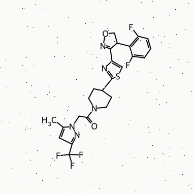 Cc1cc(C(F)(F)F)nn1CC(=O)N1CCC(c2nc(C3=NOCC3c3c(F)cccc3F)cs2)CC1